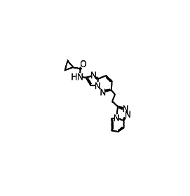 O=C(Nc1cn2nc(CCc3nnc4ccccn34)ccc2n1)C1CC1